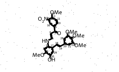 COc1cc(NC=CC(=O)c2ccc(OC)c([N+](=O)[O-])c2)c(C=Cc2cc(OC)c(OC)c(OC)c2)cc1O